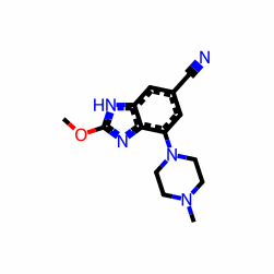 COc1nc2c(N3CCN(C)CC3)cc(C#N)cc2[nH]1